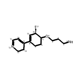 NCCCOC1CCC(C2=CC=NCC2)=C[C@H]1F